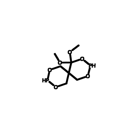 COC1(OC)OPOCC12COPOC2